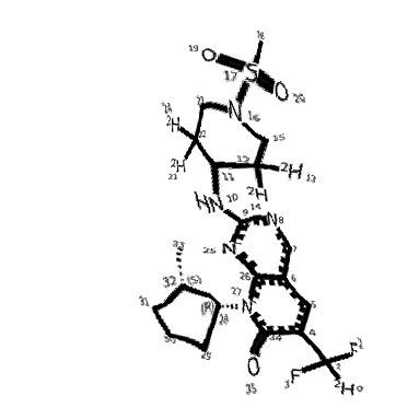 [2H]C(F)(F)c1cc2cnc(NC3C([2H])([2H])CN(S(C)(=O)=O)CC3([2H])[2H])nc2n([C@@H]2CCC[C@@H]2C)c1=O